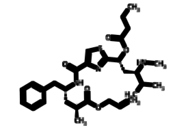 C=CCOC(=O)[C@@H](C)C[C@H](Cc1ccccc1)NC(=O)c1csc([C@@H](C[C@@H](NC)C(C)C)OC(=O)CCC)n1